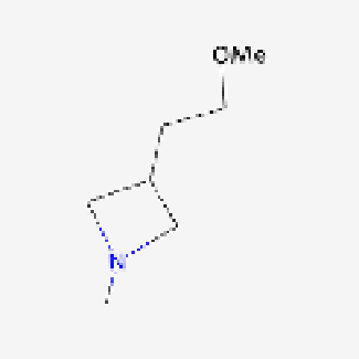 COCCC1CN(C)C1